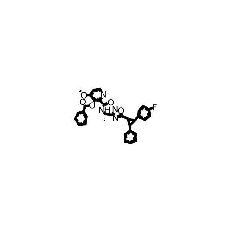 COc1ccnc(C(=O)N[C@@H](C)c2noc(C3C(c4ccccc4)C3c3ccc(F)cc3)n2)c1OC(=O)c1ccccc1